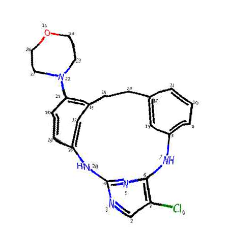 Clc1cnc2nc1Nc1cccc(c1)CCc1cc(ccc1N1CCOCC1)N2